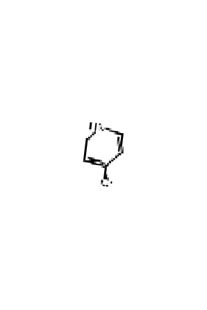 [O]C1=CCNC=C1